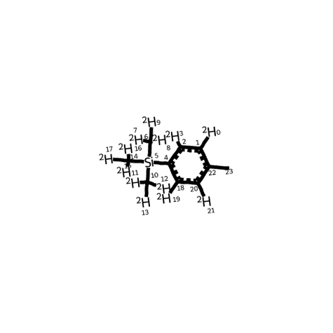 [2H]c1c([2H])c([Si](C([2H])([2H])[2H])(C([2H])([2H])[2H])C([2H])([2H])[2H])c([2H])c([2H])c1C